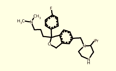 CC(C)C1CNCCN1Cc1ccc2c(c1)COC2(CCCN(C)C)c1ccc(F)cc1